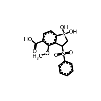 COc1c(C(=O)O)ccc2c1C(S(=O)(=O)c1ccccc1)CS2(O)O